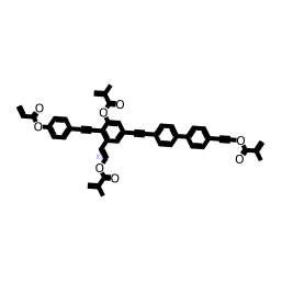 C=CC(=O)Oc1ccc(C#Cc2c(/C=C/OC(=O)C(=C)C)cc(C#Cc3ccc(-c4ccc(C#COC(=O)C(=C)C)cc4)cc3)cc2OC(=O)C(=C)C)cc1